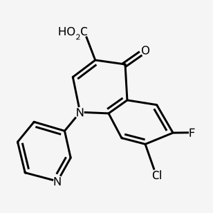 O=C(O)c1cn(-c2cccnc2)c2cc(Cl)c(F)cc2c1=O